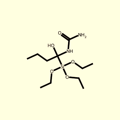 CCCC(O)(NC(N)=O)[Si](OCC)(OCC)OCC